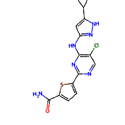 NC(=O)c1ccc(-c2ncc(Cl)c(Nc3cc(C4CC4)[nH]n3)n2)s1